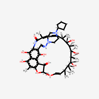 C/C1=C/C=C/[C@H](C)[C@H](O)[C@@H](C)[C@@H](O)[C@@H](C)[C@H](O)[C@H](C)[C@@H](C)/C=C/O[C@@]2(C)Oc3c(C)c(O)c4c(O)c(c(/C=N/N5CCN(C6CCCC6)CC5)c(O)c4c3C2=O)NC1=O